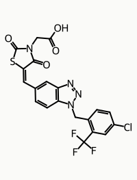 O=C(O)CN1C(=O)SC(=Cc2ccc3c(c2)nnn3Cc2ccc(Cl)cc2C(F)(F)F)C1=O